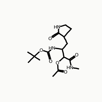 CNC(=O)C(OC(C)=O)C(CC1CCNC1=O)NC(=O)OC(C)(C)C